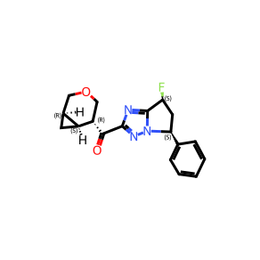 O=C(c1nc2n(n1)[C@H](c1ccccc1)C[C@@H]2F)[C@H]1COC[C@@H]2C[C@@H]21